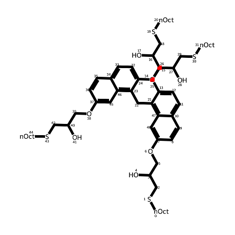 CCCCCCCCSCC(O)COc1ccc2ccc(OCC(O)CSCCCCCCCC)c(Cc3c(OCC(O)CSCCCCCCCC)ccc4ccc(OCC(O)CSCCCCCCCC)cc34)c2c1